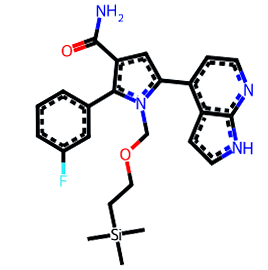 C[Si](C)(C)CCOCn1c(-c2ccnc3[nH]ccc23)cc(C(N)=O)c1-c1cccc(F)c1